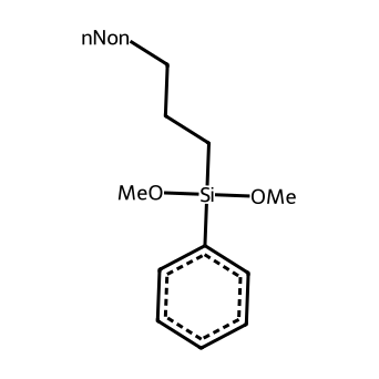 CCCCCCCCCCCC[Si](OC)(OC)c1ccccc1